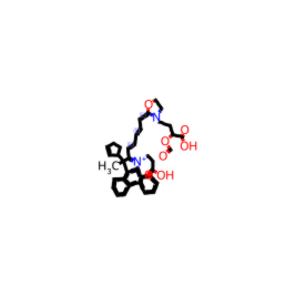 CC1(C2C=CCC2)C(/C=C/C=C/C=C2/OCCN2CCC(OC=O)C(=O)O)=[N+](CCC(=O)O)c2c1c1ccccc1c1ccccc21